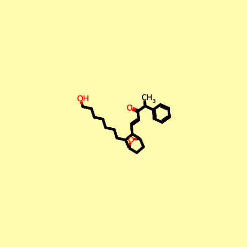 CC(C(=O)C=CC1C2CCC(O2)C1CCCCCCCO)c1ccccc1